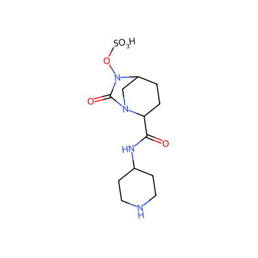 O=C(NC1CCNCC1)C1CCC2CN1C(=O)N2OS(=O)(=O)O